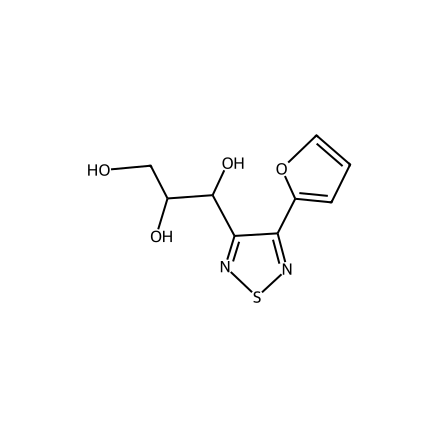 OCC(O)C(O)c1nsnc1-c1ccco1